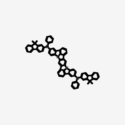 CC1(C)c2ccccc2-c2ccc(N(c3ccccc3)c3ccc4c(c3)c3cccc5c6cc7c(cc6n4c35)c3cccc4c5cc(N(c6ccccc6)c6ccc8c(c6)C(C)(C)c6ccccc6-8)ccc5n7c43)cc21